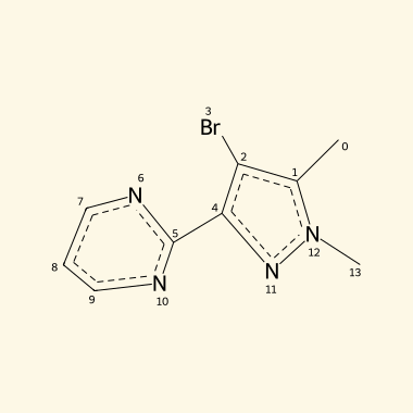 Cc1c(Br)c(-c2ncccn2)nn1C